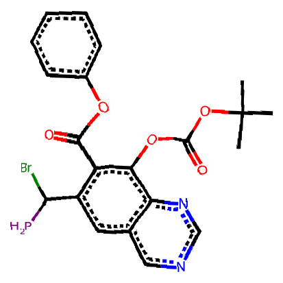 CC(C)(C)OC(=O)Oc1c(C(=O)Oc2ccccc2)c(C(P)Br)cc2cncnc12